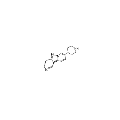 C1=NCCc2nn3cc(C4CCNCC4)ccc3c21